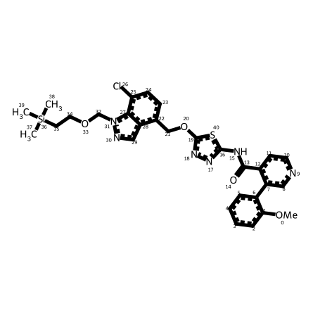 COc1ccccc1-c1cnccc1C(=O)Nc1nnc(OCc2ccc(Cl)c3c2cnn3COCC[Si](C)(C)C)s1